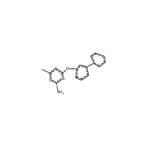 Cc1cc(Oc2cccc(-c3ccccc3)c2)nc(N)n1